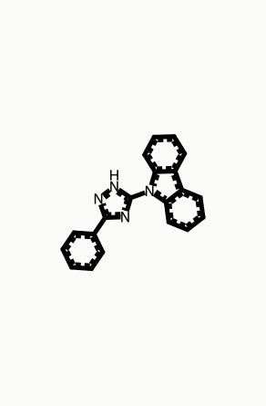 c1ccc(-c2n[nH]c(-n3c4ccccc4c4ccccc43)n2)cc1